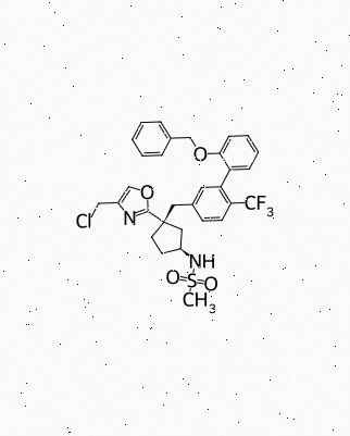 CS(=O)(=O)N[C@H]1CC[C@](Cc2ccc(C(F)(F)F)c(-c3ccccc3OCc3ccccc3)c2)(c2nc(CCl)co2)C1